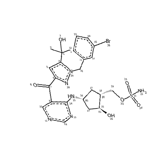 CC(C)(O)c1cc(C(=O)c2cncnc2N[C@@H]2C[C@H](COS(N)(=O)=O)[C@@H](O)C2)nn1Cc1cccc(Br)c1